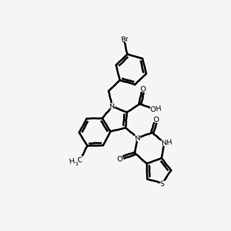 Cc1ccc2c(c1)c(-n1c(=O)[nH]c3cscc3c1=O)c(C(=O)O)n2Cc1cccc(Br)c1